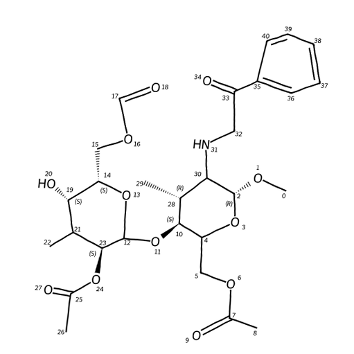 CO[C@@H]1OC(COC(C)=O)[C@@H](OC2O[C@@H](COC=O)[C@@H](O)C(C)[C@@H]2OC(C)=O)[C@H](C)C1NCC(=O)c1ccccc1